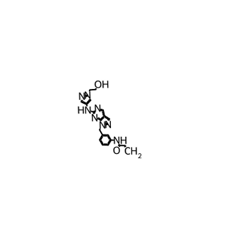 C=CC(=O)Nc1cccc(Cn2ncc3cnc(Nc4cnn(CCO)c4)nc32)c1